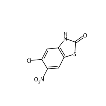 O=c1[nH]c2cc(Cl)c([N+](=O)[O-])cc2s1